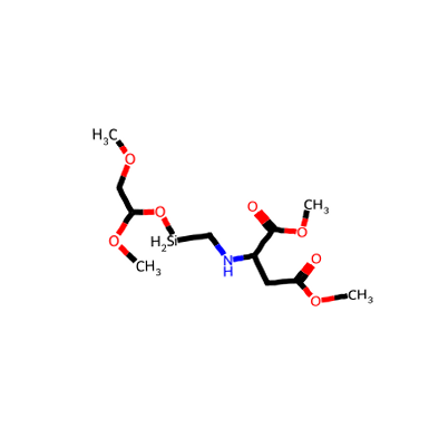 COCC(OC)O[SiH2]CNC(CC(=O)OC)C(=O)OC